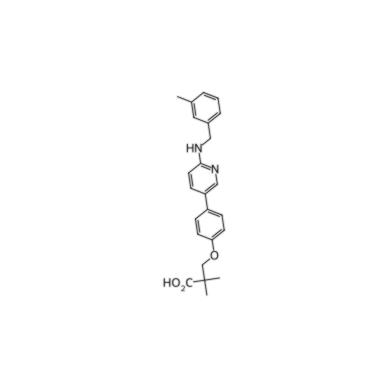 Cc1cccc(CNc2ccc(-c3ccc(OCC(C)(C)C(=O)O)cc3)cn2)c1